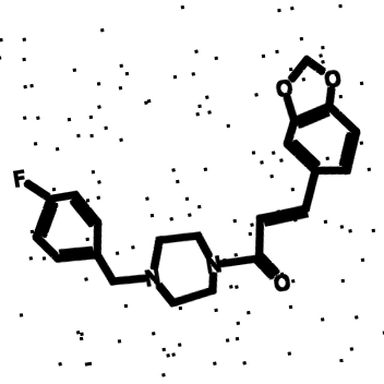 O=C(C=Cc1ccc2c(c1)OCO2)N1CCN(Cc2ccc(F)cc2)CC1